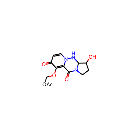 CC(=O)OCOc1c2n(ccc1=O)NC1C(O)CCN1C2=O